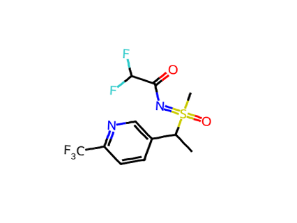 CC(c1ccc(C(F)(F)F)nc1)S(C)(=O)=NC(=O)C(F)F